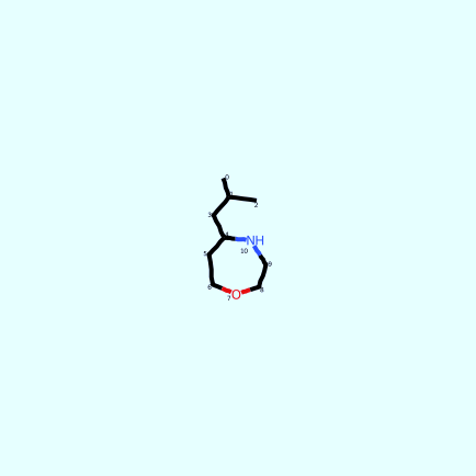 CC(C)CC1CCOCCN1